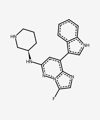 Fc1cnc2c(-c3c[nH]c4ccccc34)cc(N[C@@H]3CCCNC3)nn12